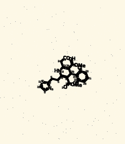 COC(=O)C1=C(CCc2nccs2)NC(CC(=O)O)=C(C(=O)OC)C1c1c(Cl)cccc1Cl